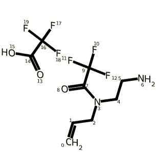 C=CCN(CCN)C(=O)C(F)(F)F.O=C(O)C(F)(F)F